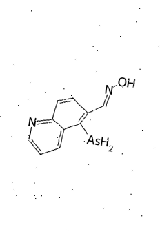 O/N=C/c1ccc2ncccc2c1[AsH2]